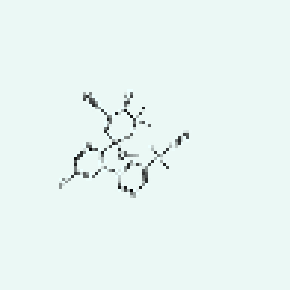 COC1(c2ncc(F)cc2-c2cncc(C(C)(C)C#N)c2)C=C(C#N)C(=O)C(C)(C)C1